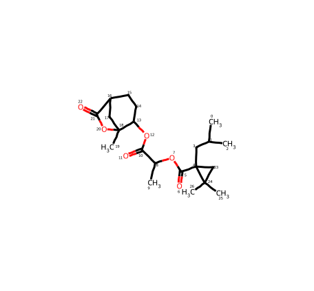 CC(C)CC1(C(=O)OC(C)C(=O)OC2CCC3CC2(C)OC3=O)CC1(C)C